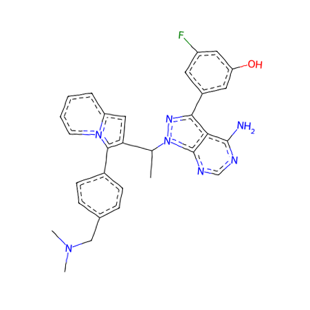 CC(c1cc2ccccn2c1-c1ccc(CN(C)C)cc1)n1nc(-c2cc(O)cc(F)c2)c2c(N)ncnc21